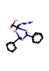 [N-]=[N+]=NC1(C(=O)O)N=C(c2ccccc2)N=C(c2ccccc2)N1